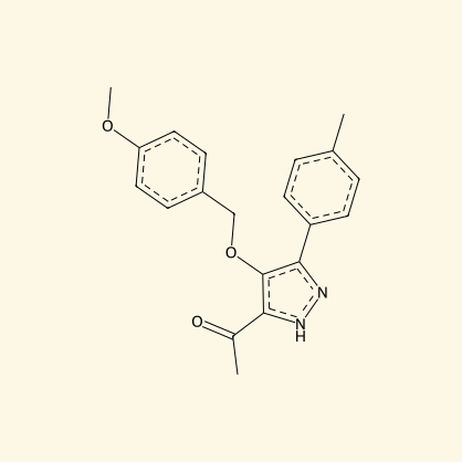 COc1ccc(COc2c(-c3ccc(C)cc3)n[nH]c2C(C)=O)cc1